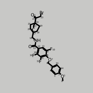 COc1ccc(COc2c(F)cc(C(=O)NCC34CCC(C(=O)CBr)(CC3)CC4)c(F)c2F)cc1